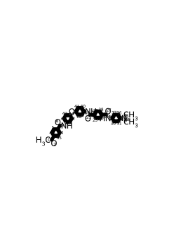 CC(=O)c1ccc(C(=O)Nc2ccc(Oc3ccc(NC(=O)c4ccc(C(=O)Nc5ccc(N(C)C)cc5)cc4)cc3)cc2)cc1